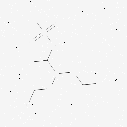 CCOP(OCC)C(C)OS(C)(=O)=O